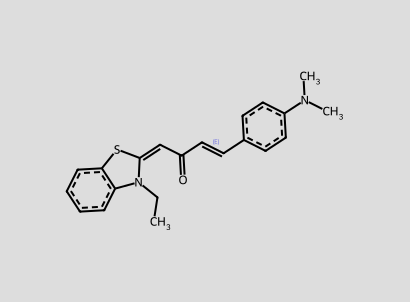 CCN1C(=CC(=O)/C=C/c2ccc(N(C)C)cc2)Sc2ccccc21